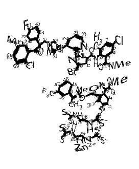 CNC(=O)c1cc(Cl)cc(C)c1NC(=O)c1cc(Br)nn1-c1ncccc1Cl.CO/N=C(/C(=O)OC)c1ccccc1CO/N=C(\C)c1cccc(C(F)(F)F)c1.Fc1ccc(C2(Cn3cncn3)OC2c2ccccc2Cl)cc1.S=C([S-])NCCNC(=S)[S-].S=C([S-])NCCNC(=S)[S-].[Mn+2].[Zn+2]